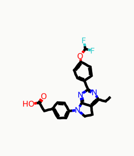 CCc1nc(-c2ccc(OC(F)F)cc2)nc2c1CCN2c1ccc(CC(=O)O)cc1